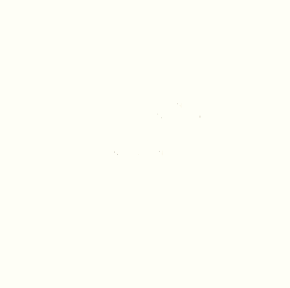 CCc1csc(-c2sc(-c3cc(O)ncn3)nc2C(F)(F)F)n1